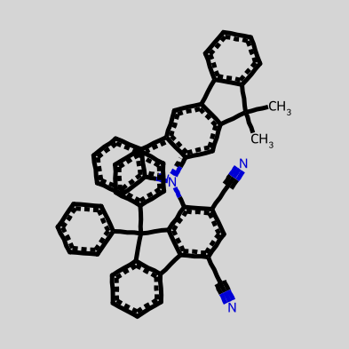 CC1(C)c2ccccc2-c2cc3c4ccccc4n(-c4c(C#N)cc(C#N)c5c4C(c4ccccc4)(c4ccccc4)c4ccccc4-5)c3cc21